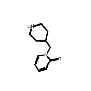 O=c1ccccn1CC1CCNCC1